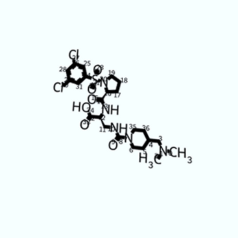 CN(C)CC1CCN(C(=O)NC[C@H](NC(=O)[C@@H]2CCCN2S(=O)(=O)c2cc(Cl)cc(Cl)c2)C(=O)O)CC1